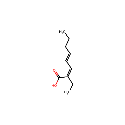 CCCC=CC=C(CC)C(=O)O